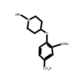 CCCCN1CCC(Oc2ccc(C(=O)O)cc2OC)CC1